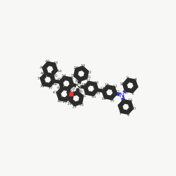 c1ccc(N(c2ccccc2)c2ccc(-c3ccc([Si](c4ccccc4)(c4ccccc4)c4ccc(-c5cccc6ccccc56)c5ccccc45)cc3)cc2)cc1